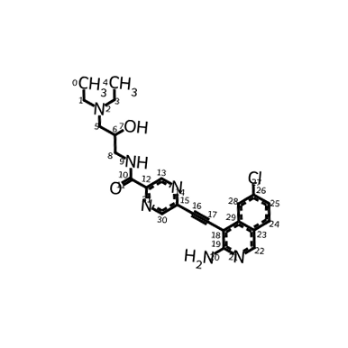 CCN(CC)CC(O)CNC(=O)c1cnc(C#Cc2c(N)ncc3ccc(Cl)cc23)cn1